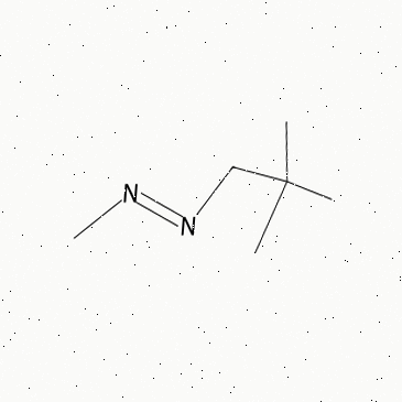 C/N=N/CC(C)(C)C